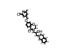 Cc1cc(COc2ccc3c(c2)OCCN(CC(O)CN2CCc4ccccc4C2)C3=O)cc(Cl)n1